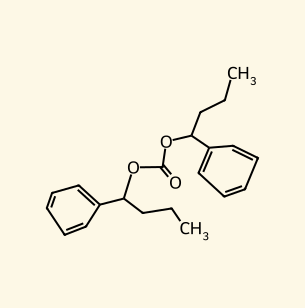 CCCC(OC(=O)OC(CCC)c1ccccc1)c1ccccc1